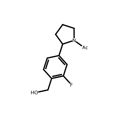 CC(=O)N1CCCC1c1ccc(CO)c(F)c1